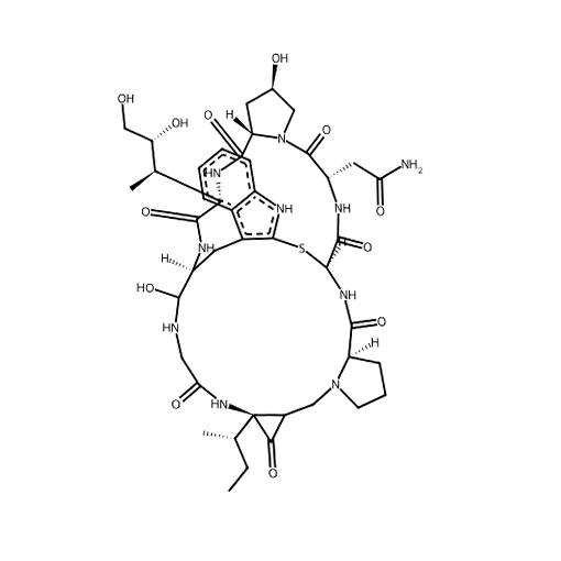 CC[C@H](C)[C@]12NC(=O)CNC(O)[C@@H]3Cc4c([nH]c5ccccc45)S[C@H](NC(=O)[C@H]4CCCN4CC1C2=O)C(=O)N[C@@H](CC(N)=O)C(=O)N1C[C@H](O)C[C@H]1C(=O)N[C@@H]([C@@H](C)[C@@H](O)CO)C(=O)N3